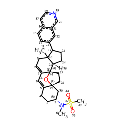 CN([C@@H]1CCC2=CC3=CCC4(C)C(c5ccc6ccncc6c5)CC[C@H]4[C@@]34CC[C@]2(C1)O4)S(C)(=O)=O